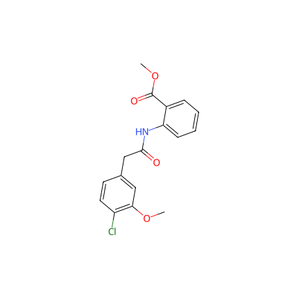 COC(=O)c1ccccc1NC(=O)Cc1ccc(Cl)c(OC)c1